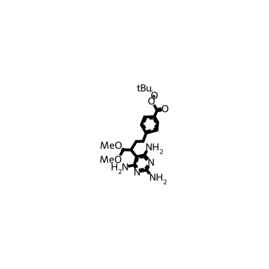 COC(OC)C(CCc1ccc(C(=O)OOC(C)(C)C)cc1)c1c(N)nc(N)nc1N